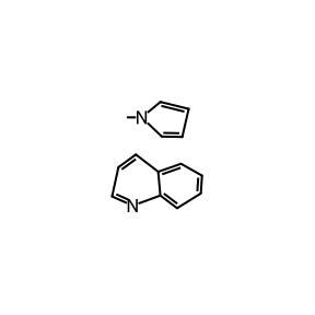 Cn1cccc1.c1ccc2ncccc2c1